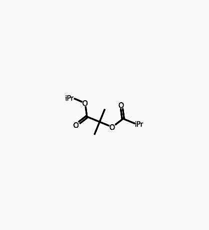 CC(C)OC(=O)C(C)(C)OC(=O)C(C)C